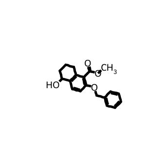 COC(=O)c1c(OCc2ccccc2)ccc2c1CCCC2O